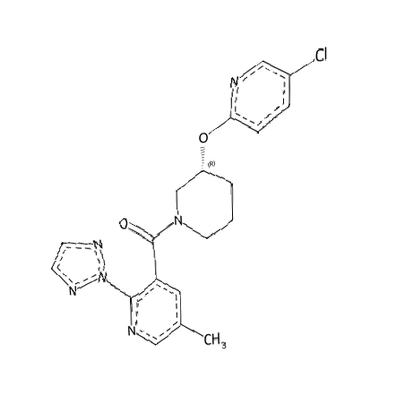 Cc1cnc(-n2nccn2)c(C(=O)N2CCC[C@@H](Oc3ccc(Cl)cn3)C2)c1